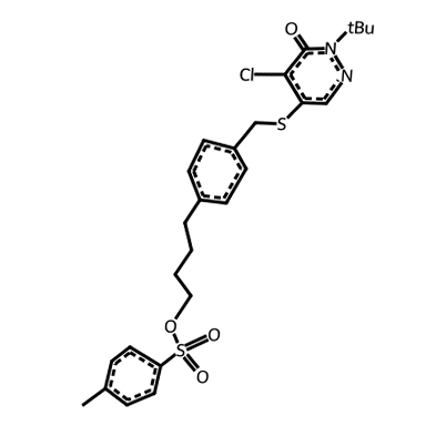 Cc1ccc(S(=O)(=O)OCCCCc2ccc(CSc3cnn(C(C)(C)C)c(=O)c3Cl)cc2)cc1